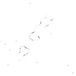 Cc1ccc(Oc2cccc(Cc3ccc(=O)[nH]n3)c2)cc1